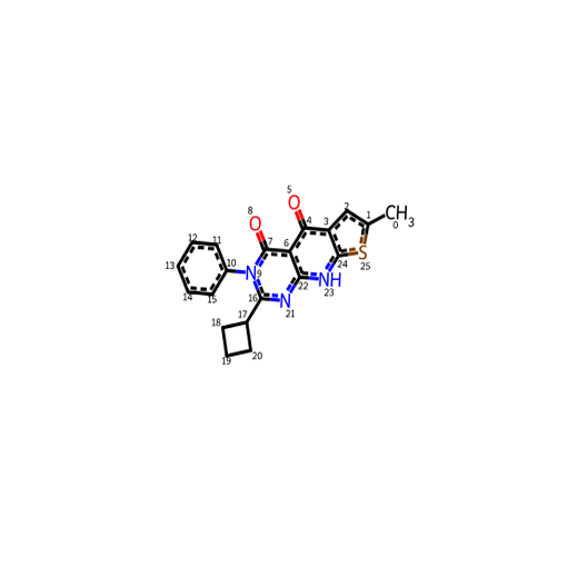 Cc1cc2c(=O)c3c(=O)n(-c4ccccc4)c(C4CCC4)nc3[nH]c2s1